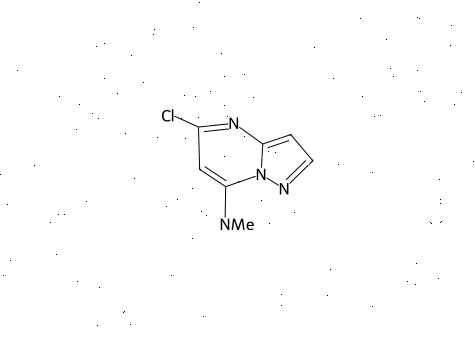 CNc1cc(Cl)nc2ccnn12